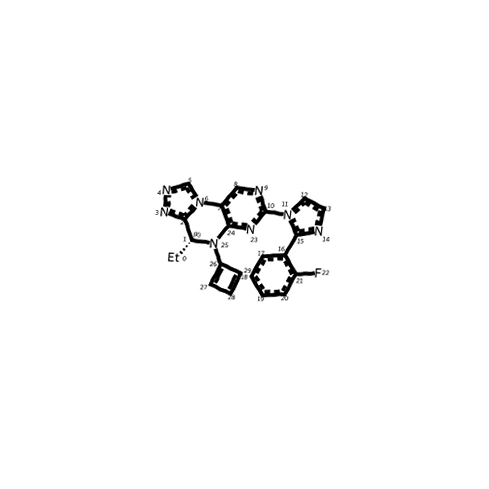 CC[C@@H]1c2nncn2-c2cnc(-n3ccnc3-c3ccccc3F)nc2N1C1=CC=C1